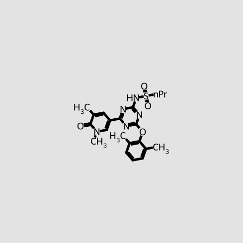 CCCS(=O)(=O)Nc1nc(Oc2c(C)cccc2C)nc(-c2cc(C)c(=O)n(C)c2)n1